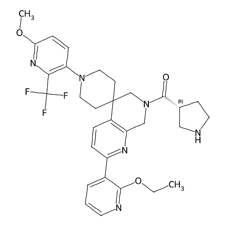 CCOc1ncccc1-c1ccc2c(n1)CN(C(=O)[C@@H]1CCNC1)CC21CCN(c2ccc(OC)nc2C(F)(F)F)CC1